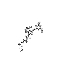 COCCN(C)CC=CC(=O)N1CC(n2cc(C#Cc3cc(OC)cc(OC)c3)c3c(N)ncnc32)C1